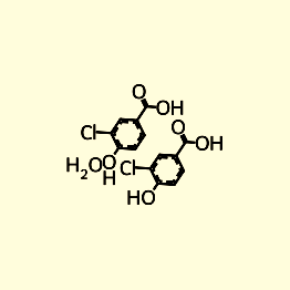 O.O=C(O)c1ccc(O)c(Cl)c1.O=C(O)c1ccc(O)c(Cl)c1